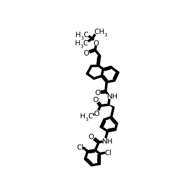 COC(=O)[C@H](Cc1ccc(NC(=O)c2c(Cl)cccc2Cl)cc1)NC(=O)c1cccc2c1CCCC2=CC(=O)OC(C)(C)C